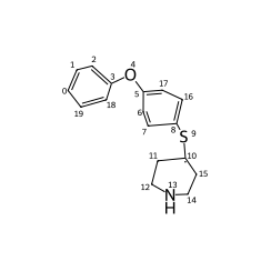 c1ccc(Oc2ccc(S[C]3CCNCC3)cc2)cc1